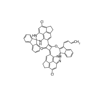 C=C/C=C\C1=C2OC3=C(c4cc5c6c(c(Cl)cc7c6c4NC4(N7)c6ccccc6-c6ccccc64)CC5)C(=O)/C3=c3\cc4c5c(c(Cl)cc6c5c3NC2(N=6)c2ccccc21)CC4